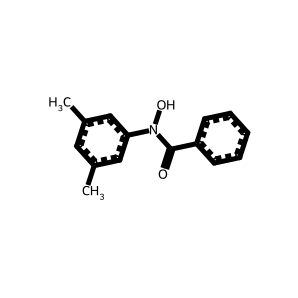 Cc1cc(C)cc(N(O)C(=O)c2ccccc2)c1